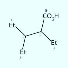 CCC(CC)C(CC)C(=O)O